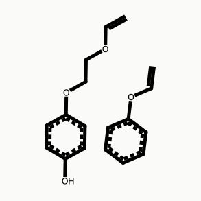 C=COCCOc1ccc(O)cc1.C=COc1ccccc1